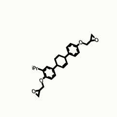 CC(C)c1cc(C2C=CC(c3ccc(OCC4CO4)cc3)CC2)ccc1OCC1CO1